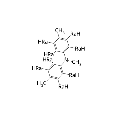 Cc1[c]([RaH])[c]([RaH])c(N(C)c2[c]([RaH])[c]([RaH])c(C)[c]([RaH])[c]2[RaH])[c]([RaH])[c]1[RaH]